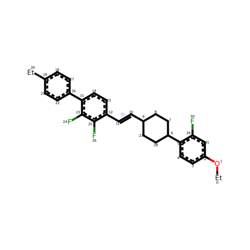 CCOc1ccc(C2CCC(/C=C/c3ccc(-c4ccc(CC)cc4)c(F)c3F)CC2)c(F)c1